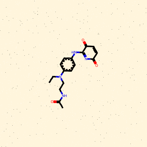 CCN(CCNC(C)=O)c1ccc(NC2=NC(=O)C=CC2=O)cc1